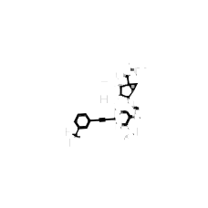 CNC(=O)C12CC1[C@@H](n1cnc3c(NC)nc(C#Cc4cccc(C(F)(F)F)c4)nc31)[C@H](O)[C@@H]2O